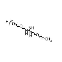 COCCOCCNC(=N)NCCOCCOC